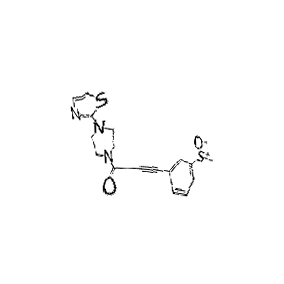 C[S+]([O-])c1cccc(C#CC(=O)N2CCN(c3nccs3)CC2)c1